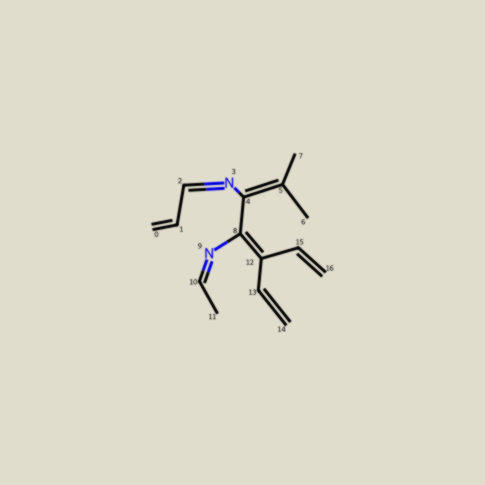 C=C/C=N\C(=C(C)C)C(/N=C\C)=C(C=C)C=C